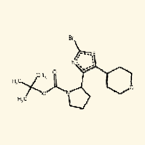 CC(C)(C)OC(=O)N1CCCC1c1nc(Br)sc1C1CCOCC1